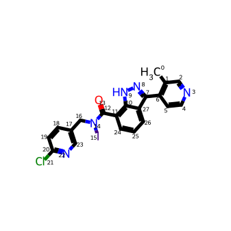 Cc1cnccc1-c1n[nH]c2c(C(=O)N(I)Cc3ccc(Cl)nc3)cccc12